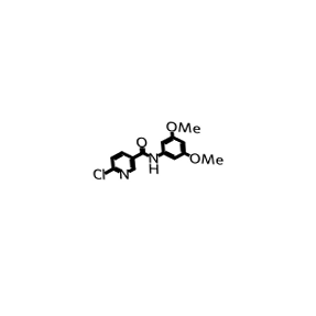 COc1cc(NC(=O)c2ccc(Cl)nc2)cc(OC)c1